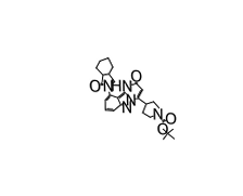 CC(C)(C)OC(=O)N1CCC(c2cc(=O)[nH]c3c4c(N5CC6CCCCC6C5=O)cccc4nn23)CC1